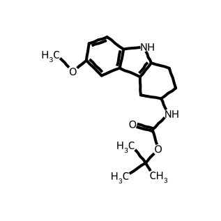 COc1ccc2[nH]c3c(c2c1)CC(NC(=O)OC(C)(C)C)CC3